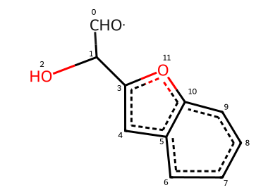 O=[C]C(O)c1cc2ccccc2o1